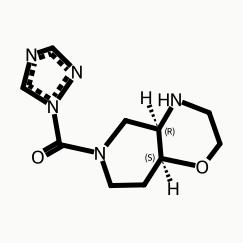 O=C(N1CC[C@@H]2OCCN[C@@H]2C1)n1cncn1